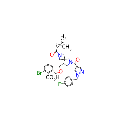 CC1(C)C[C@@H]1C(=O)N1CC2(CN(C(=O)c3cnn(Cc4ccc(F)cc4)c3)CC2COCc2cccc(Br)c2C(=O)O)C1